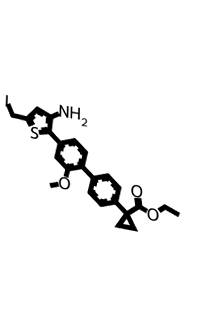 CCOC(=O)C1(c2ccc(-c3ccc(-c4sc(CI)cc4N)cc3OC)cc2)CC1